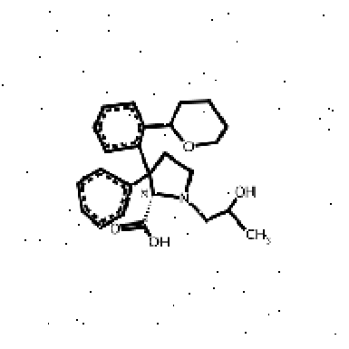 CC(O)CN1CCC(c2ccccc2)(c2ccccc2C2CCCCO2)[C@H]1C(=O)O